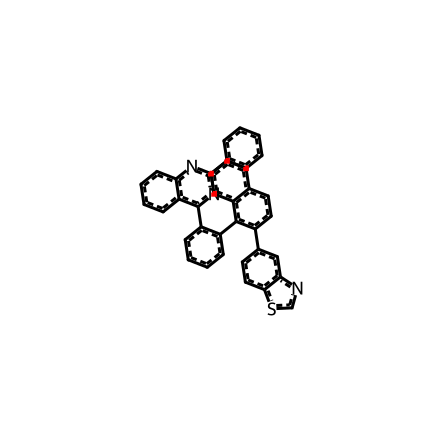 c1ccc(-c2nc(-c3ccccc3-c3c(-c4ccc5scnc5c4)ccc4ccccc34)c3ccccc3n2)cc1